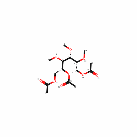 CO[C@@H]([C@H](OC)[C@@H](COC(C)=O)OC(C)=O)[C@@H](COC(C)=O)OC